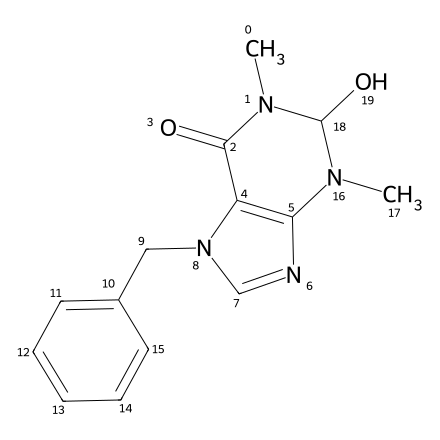 CN1C(=O)c2c(ncn2Cc2ccccc2)N(C)C1O